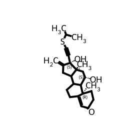 C=C1CC2C3CCC4=CC(=O)CC[C@]4(C)C3[C@@H](O)C[C@]2(C)[C@]1(O)C#CSC(C)C